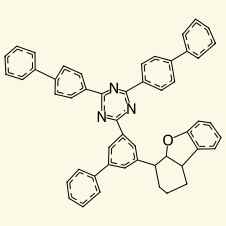 c1ccc(-c2ccc(-c3nc(-c4ccc(-c5ccccc5)cc4)nc(-c4cc(-c5ccccc5)cc(C5CCCC6c7ccccc7OC56)c4)n3)cc2)cc1